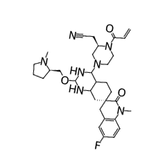 C=CC(=O)N1CCN(C2NC(OC[C@H]3CCCN3C)NC3C[C@@]4(CCC32)Cc2cc(F)ccc2N(C)C4=O)C[C@H]1CC#N